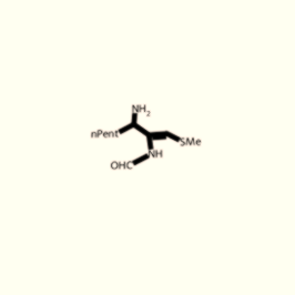 CCCCCC(N)/C(=C/SC)NC=O